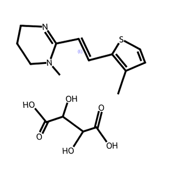 Cc1ccsc1/C=C/C1=NCCCN1C.O=C(O)C(O)C(O)C(=O)O